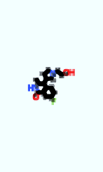 Cc1[nH]c(=O)c2cc(F)ccc2c1C1CCN(CCO)C1